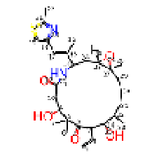 C=CC1C(=O)C(C)(C)[C@@H](O)CC(=O)NC(/C(C)=C/c2csc(C)n2)C[C@@H]2O[C@]2(C)CCCC(C)C1O